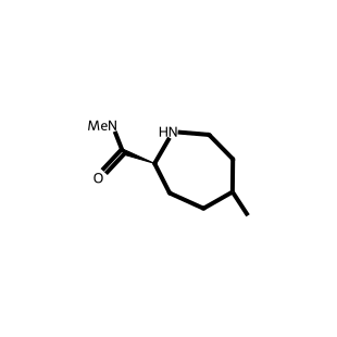 CNC(=O)[C@@H]1CCC(C)CCN1